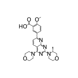 COc1ccc(-c2ccc3c(N4CCOCC4)nc(N4CCOC[C@@H]4C)nc3n2)cc1C(=O)O